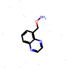 NOCc1cccc2nccnc12